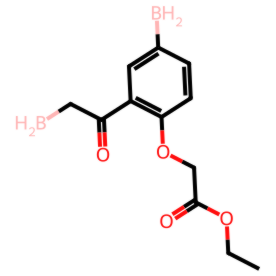 BCC(=O)c1cc(B)ccc1OCC(=O)OCC